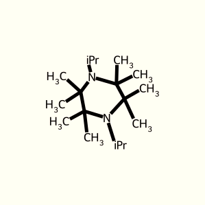 CC(C)N1C(C)(C)C(C)(C)N(C(C)C)C(C)(C)C1(C)C